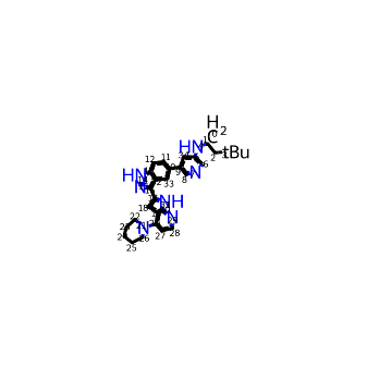 C=C(CC(C)(C)C)Nc1cncc(-c2ccc3[nH]nc(-c4cc5c(N6CCCCC6)ccnc5[nH]4)c3c2)c1